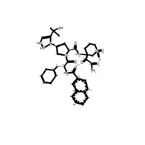 CC(C)(O)C1=CNNN1[C@H]1C[C@@H](C(=O)NC2(C(=O)C(N)=O)CCCS(=O)(=O)C2)N(C(=O)[C@@H](CC2CCCCC2)NC(=O)c2ccc3ccccc3c2)C1